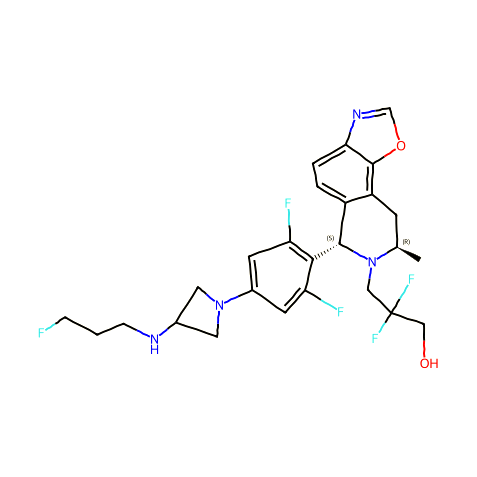 C[C@@H]1Cc2c(ccc3ncoc23)[C@@H](c2c(F)cc(N3CC(NCCCF)C3)cc2F)N1CC(F)(F)CO